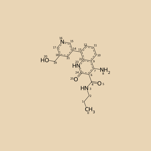 CCCNC(=O)c1c(N)c2cccc(-c3cncc(CO)c3)c2[nH]c1=O